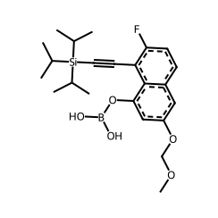 COCOc1cc(OB(O)O)c2c(C#C[Si](C(C)C)(C(C)C)C(C)C)c(F)ccc2c1